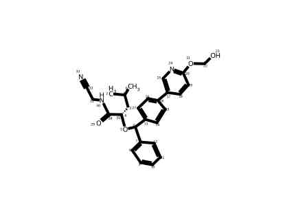 CC(C)C[C@H](OC(c1ccccc1)c1ccc(-c2ccc(OCO)nc2)cc1)C(=O)NCC#N